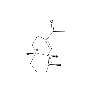 CC(=O)C1=C[C@@H]2[C@@H](C)CCC[C@]2(C)CC1